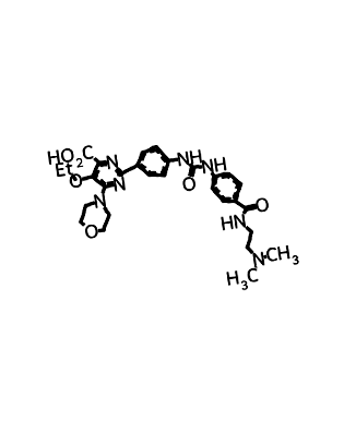 CCOc1c(C(=O)O)nc(-c2ccc(NC(=O)Nc3ccc(C(=O)NCCN(C)C)cc3)cc2)nc1N1CCOCC1